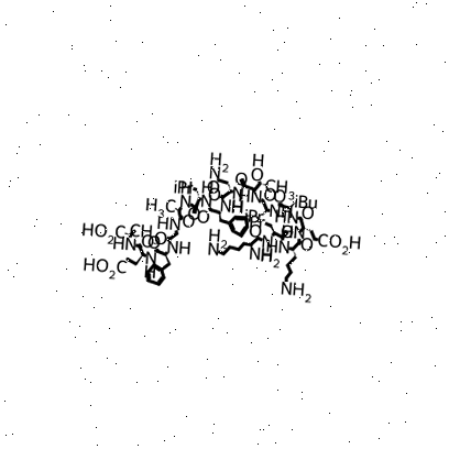 CC[C@H](C)[C@H](NC(=O)[C@H](CCC(=O)O)NC(=O)[C@H](CCCCN)NC(=O)[C@H](CC(C)C)NC(=O)[C@@H](N)CCCCN)C(=O)N[C@H](C(=O)N[C@H](C(=O)N[C@@H](CC(N)=O)C(=O)N[C@@H](Cc1ccccc1)C(=O)N[C@@H](CC(C)C)C(=O)N[C@@H](C)C(=O)NCC(=O)N[C@@H](Cc1ccccc1)C(=O)N[C@@H](CCC(=O)O)C(=O)N[C@@H](C)C(=O)O)[C@@H](C)O)C(C)C